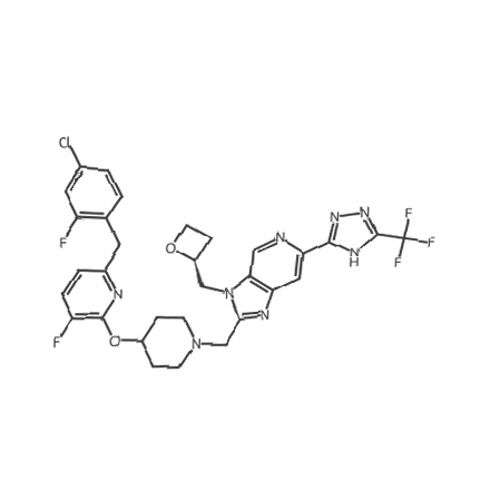 Fc1cc(Cl)ccc1Cc1ccc(F)c(OC2CCN(Cc3nc4cc(-c5nnc(C(F)(F)F)[nH]5)ncc4n3C[C@@H]3CCO3)CC2)n1